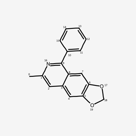 Cc1cc2cc3c(cc2c(-c2ccccc2)n1)OCO3